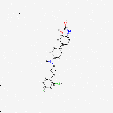 CN(CCCc1ccc(Cl)cc1Cl)C1CCC(c2ccc3[nH]c(=O)oc3c2)CC1